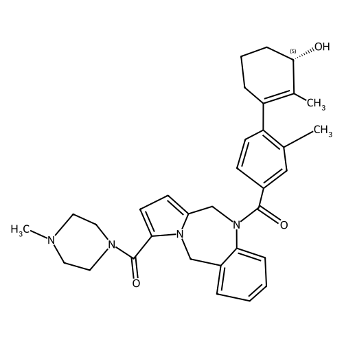 CC1=C(c2ccc(C(=O)N3Cc4ccc(C(=O)N5CCN(C)CC5)n4Cc4ccccc43)cc2C)CCC[C@@H]1O